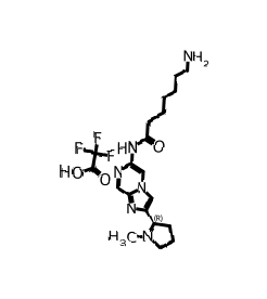 CN1CCC[C@@H]1c1cn2cc(NC(=O)CCCCCCN)ncc2n1.O=C(O)C(F)(F)F